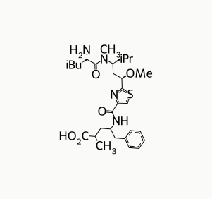 CC[C@H](C)[C@H](N)C(=O)N(C)[C@H](C[C@@H](OC)c1nc(C(=O)NC(Cc2ccccc2)CC(C)C(=O)O)cs1)C(C)C